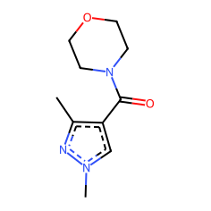 Cc1nn(C)cc1C(=O)N1CCOCC1